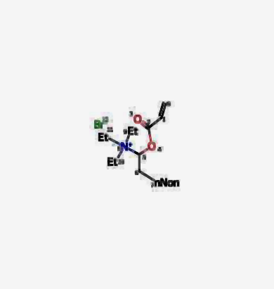 C=CC(=O)OC(CCCCCCCCCC)[N+](CC)(CC)CC.[Br-]